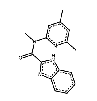 Cc1cc(C)nc(N(C)C(=O)c2nc3ccccc3[nH]2)c1